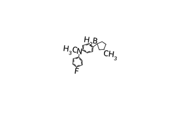 BC1(c2ccc(N(C)c3ccc(F)cc3)cc2)CCC(C)C1